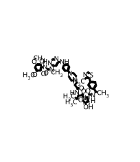 COc1cc(OC)c(Cl)c(NC(=O)N(C)c2cc(Nc3ccc(N4CCN(CCC(=O)NC(C(=O)N5C[C@H](O)C[C@H]5C(=O)NC(C)c5ccc(-c6scnc6C)cc5)C(C)(C)C)CC4)cc3)ncn2)c1Cl